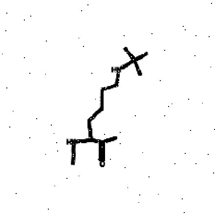 CNC(CCCCNC(C)(C)C)C(C)=O